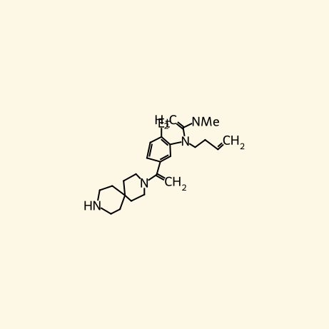 C=CCCN(C(=C)NC)c1cc(C(=C)N2CCC3(CCNCC3)CC2)ccc1CC